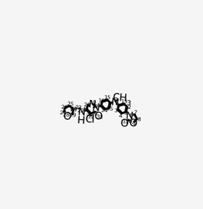 CN(c1ccc(N2CCOC2=O)cc1)c1ccc(-n2ncc(NC[C@H]3CCCOC3)c(Cl)c2=O)cc1